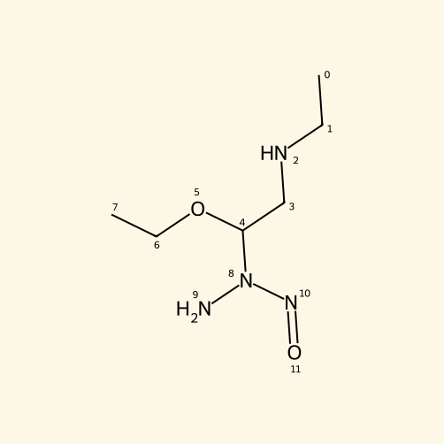 CCNCC(OCC)N(N)N=O